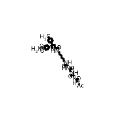 CC(=O)SCC(=O)NCC(=O)NCC(=O)NCC(=O)NCCCCCCNC(=O)c1cc(-c2ccc(C)cc2)n(-c2ccc(S(N)(=O)=O)cc2)n1